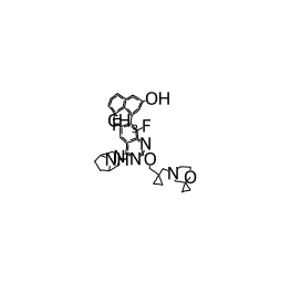 Cc1cccc2cc(O)cc(-c3c(F)cc4c(N5CC6CCC(C5)N6)nc(OCC5(CN6CCOC7(CC7)C6)CC5)nc4c3F)c12